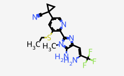 CCSc1cc(C2(C#N)CC2)cnc1-c1nc(/C=C(\N)C(F)(F)F)c(N)n1C